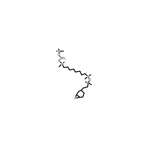 C[SiH](C)O[SiH2]O[Si](C)(C)CCCCCCCC[Si](C)(C)O[Si](C)(C)CCC1CCC2OC2C1